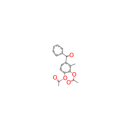 CC(=O)Oc1ccc(C(=O)c2ccccc2)c(C)c1OC(C)=O